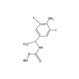 CC(NC(=O)OC(C)(C)C)c1cc(F)c(N)c(I)c1